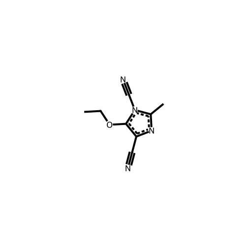 CCOc1c(C#N)nc(C)n1C#N